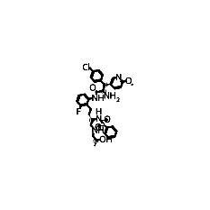 COc1ccc([C@H](c2ccc(Cl)cc2)[C@H](N)C(=O)Nc2cccc(F)c2CC[C@@H](CNC[C@H](C)O)NS(=O)(=O)c2ccccc2)cn1